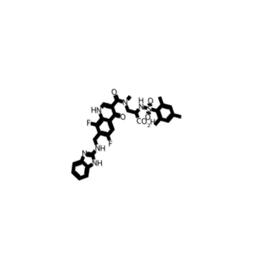 Cc1cc(C)c(S(=O)(=O)NC(CN(C)C(=O)c2c[nH]c3c(F)c(CNc4nc5ccccc5[nH]4)c(F)cc3c2=O)C(=O)O)c(C)c1